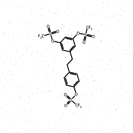 O=S(=O)(Oc1ccc(CCc2cc(OS(=O)(=O)C(F)(F)F)cc(OS(=O)(=O)C(F)(F)F)c2)cc1)C(F)(F)F